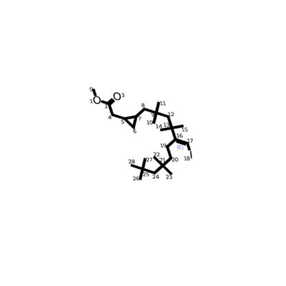 COC(=O)CC1CC1CC(C)(C)CC(C)(C)/C(=C/I)CCC(C)(C)CC(C)(C)C